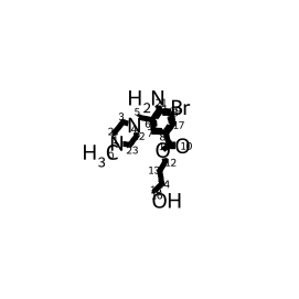 CN1CCN(Cc2cc(C(=O)OCCCCO)cc(Br)c2N)CC1